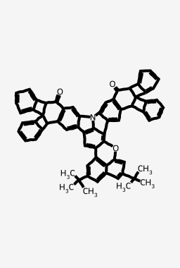 CC(C)(C)c1cc2cc(C(C)(C)C)cc3c4cc5c6cc7c(cc6n6c8cc9c(cc8c(c4oc(c1)c23)c56)C1c2ccccc2C12c1ccccc1C2C9=O)C(=O)C1c2ccccc2C12c1ccccc1C72